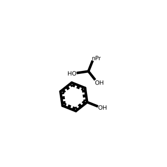 CCCC(O)O.Oc1ccccc1